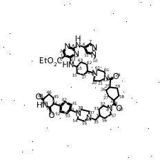 CCOC(=O)c1cnc(Nc2cnn(C)c2)nc1NC1CCC(N2CCN(C(=O)C3CCC(C(=O)N4CCC(CN5CCN(c6ccc(C7CCC(=O)NC7=O)cc6)CC5)CC4)CC3)CC2)CC1